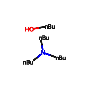 CCCCN(CCCC)CCCC.CCCCO